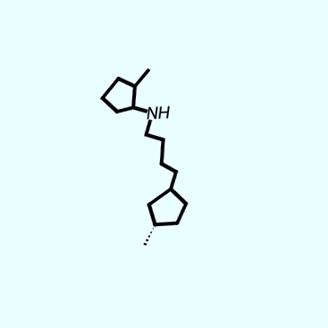 CC1CCCC1NCCCCC1CC[C@H](C)C1